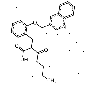 CCCCC(=O)C(Cc1ccccc1OCc1cnc2ccccc2c1)C(=O)O